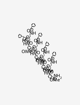 COc1ccc(NC(=O)[C@H](CCCCNC(=O)OCc2ccccc2)NC(=O)c2cc(NC(=O)[C@H](CCCCNC(=O)OCc3ccccc3)NC(=O)c3cc(NC(=O)[C@H](CCCCNC(=O)OCc4ccccc4)NC(=O)c4cc(NC(=O)[C@H](CCCCNC(=O)OCc5ccccc5)NC(=O)OCc5ccccc5)ccc4OC)ccc3OC)ccc2OC)cc1C(N)=O